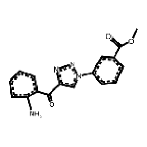 COC(=O)c1cccc(-n2cc(C(=O)c3ccccc3N)nn2)c1